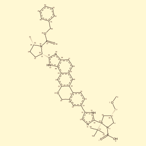 COC[C@@H]1CN(C(=O)O)[C@](c2ncc(-c3ccc4c(c3)COc3cc5c(ccc6nc([C@@H]7CC[C@H](C)N7C(=O)OCc7ccccc7)[nH]c65)cc3-4)[nH]2)(C(C)(C)C)C1